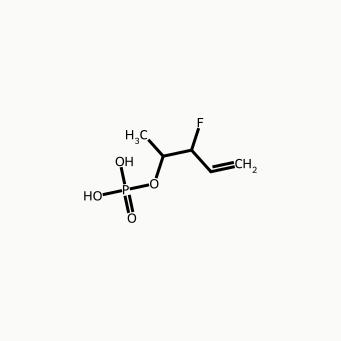 C=CC(F)C(C)OP(=O)(O)O